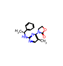 Cc1cnc(N[C@@H](C)c2ccccc2)nc1N1CCOC1=O